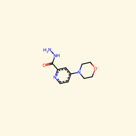 NNC(=O)c1cc(N2CCOCC2)ccn1